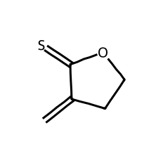 C=C1CCOC1=S